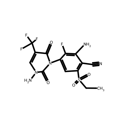 CCS(=O)(=O)c1cc(-n2c(=O)c(C(F)(F)F)cn(N)c2=O)c(F)c(N)c1C#N